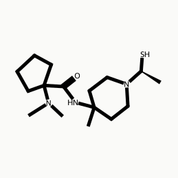 C[C@H](S)N1CCC(C)(NC(=O)C2(N(C)C)CCCC2)CC1